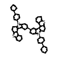 c1ccc(-c2ccc(-n3c4ccc(-c5ccc6c(c5)c5c7c(ccc5n6-c5ccc(-c6ccccc6)cc5)sc5ccccc57)cc4c4c5c(ccc43)sc3ccccc35)cc2)cc1